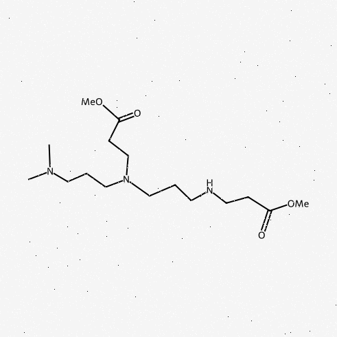 COC(=O)CCNCCCN(CCCN(C)C)CCC(=O)OC